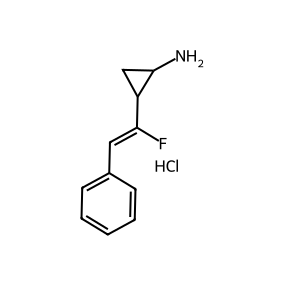 Cl.NC1CC1C(F)=Cc1ccccc1